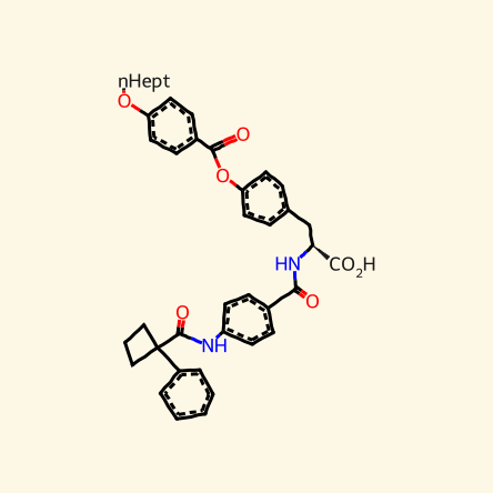 CCCCCCCOc1ccc(C(=O)Oc2ccc(C[C@H](NC(=O)c3ccc(NC(=O)C4(c5ccccc5)CCC4)cc3)C(=O)O)cc2)cc1